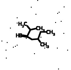 B=C(CC(C)CC)C(C)C